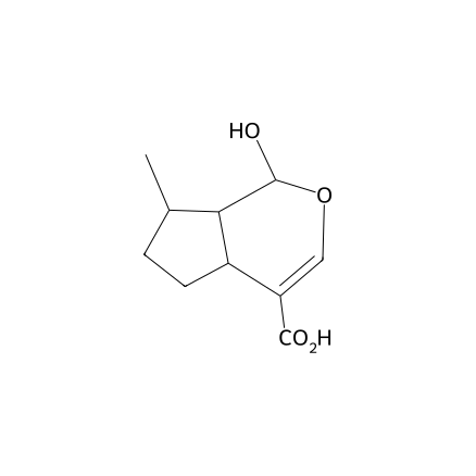 CC1CCC2C(C(=O)O)=COC(O)C12